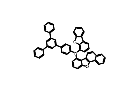 c1ccc(-c2cc(-c3ccccc3)cc(-c3ccc(N(c4cccc5c4oc4ccccc45)c4cccc5oc6c7ccccc7ccc6c45)cc3)c2)cc1